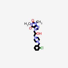 Cn1c(=O)c2c(ncn2CC(O)CN2CCN(Cc3ccccc3Cl)CC2)n(C)c1=O